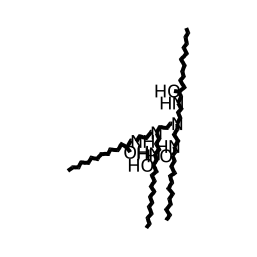 CCCCCCCCCCCCC(O)CNCCCN(CCCNCC(O)CCCCCCCCCCCC)CCCN(CCCNCC(O)CCCCCCCCCCCC)CCCNCC(O)CCCCCCCCCCCC